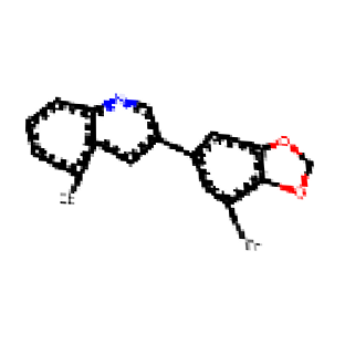 CCc1cccc2ncc(-c3cc4c(c(C(C)C)c3)OCO4)cc12